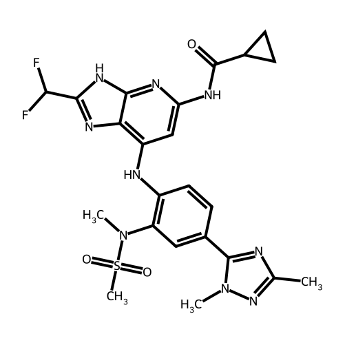 Cc1nc(-c2ccc(Nc3cc(NC(=O)C4CC4)nc4[nH]c(C(F)F)nc34)c(N(C)S(C)(=O)=O)c2)n(C)n1